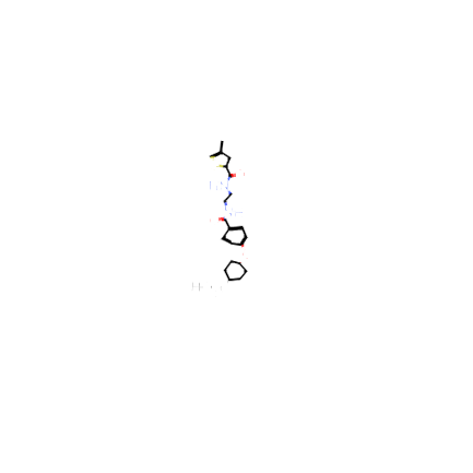 CC1=CSC(C(=O)NCCNC(=O)c2ccc(O[C@H]3CC[C@@H](C(=O)O)CC3)cc2)C1